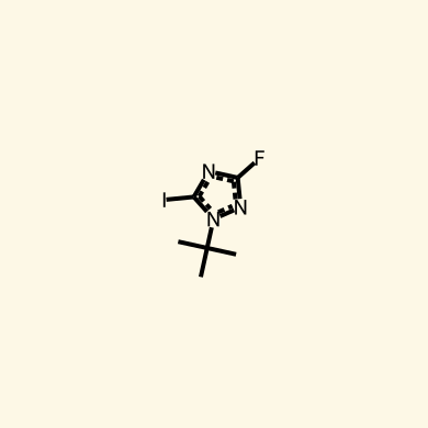 CC(C)(C)n1nc(F)nc1I